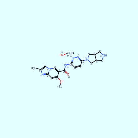 CCOc1cc2nc(C)cn2cc1C(=O)Nc1ccc(N2CC3CNCC3C2)nn1.O=CO